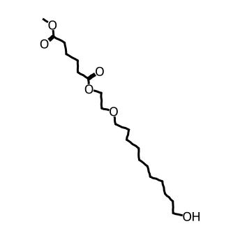 COC(=O)CCCCC(=O)OCCOCCCCCCCCCCCO